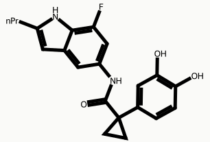 CCCc1cc2cc(NC(=O)C3(c4ccc(O)c(O)c4)CC3)cc(F)c2[nH]1